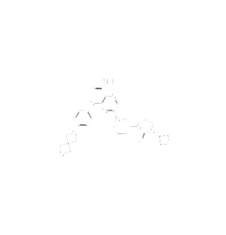 NC(=O)c1ncc(N2CCCC(N3CCN(C4COC4)C3=O)C2)nc1Nc1ccc(N2CC3(CNC3)C2)cc1